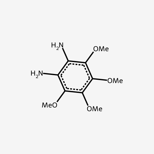 COc1c(N)c(N)c(OC)c(OC)c1OC